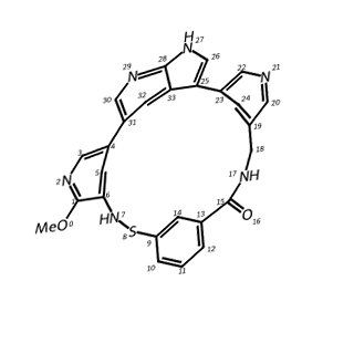 COc1ncc2cc1NSc1cccc(c1)C(=O)NCc1cncc(c1)-c1c[nH]c3ncc-2cc13